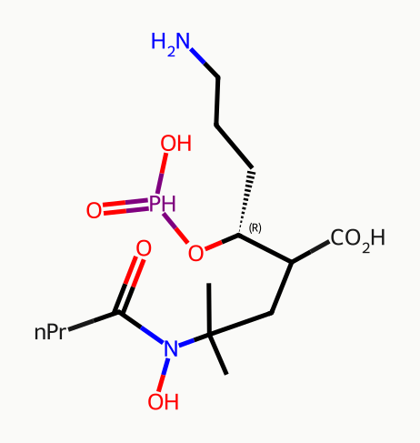 CCCC(=O)N(O)C(C)(C)CC(C(=O)O)[C@@H](CCCN)O[PH](=O)O